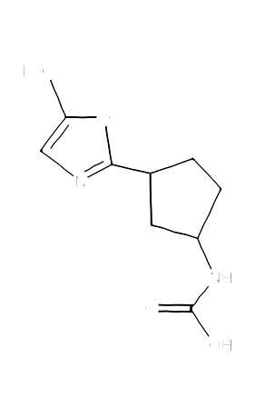 Cc1cnc(C2CCC(NC(=O)O)C2)o1